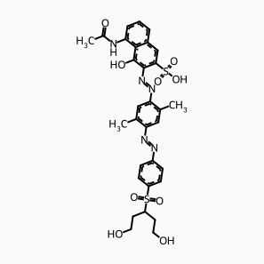 CC(=O)Nc1cccc2cc(S(=O)(=O)O)c(/N=N/c3cc(C)c(/N=N/c4ccc(S(=O)(=O)C(CCO)CCO)cc4)cc3C)c(O)c12